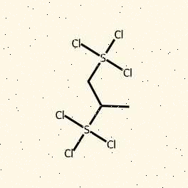 CC(CS(Cl)(Cl)Cl)S(Cl)(Cl)Cl